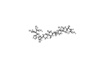 CN[C@H](C(=O)N1CCC[C@H]1c1nc(-c2ccc(-c3c(F)cc(NC(=O)c4ccc(N5CCN(C(=O)[C@H]6CC6(C)C)C[C@H]5C)nc4)cc3F)cc2)c[nH]1)C(C)C